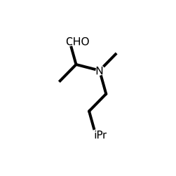 CC(C)CCN(C)C(C)C=O